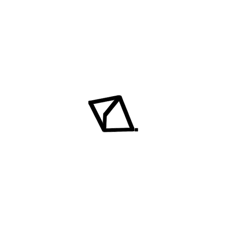 [CH]1C2CC1C2